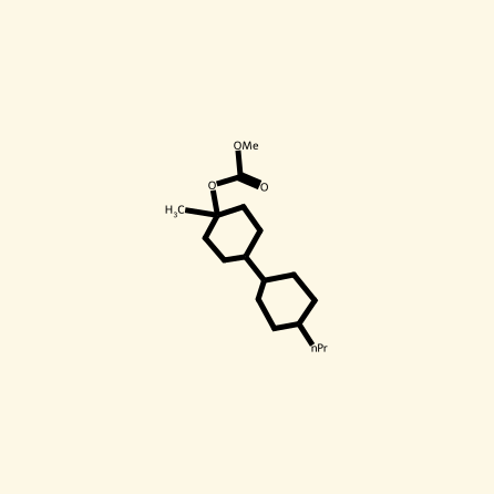 CCCC1CCC(C2CCC(C)(OC(=O)OC)CC2)CC1